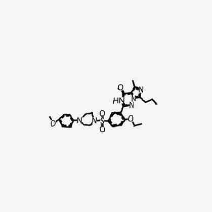 CCCc1nc(C)c2c(=O)[nH]c(-c3cc(S(=O)(=O)N4CCN(c5ccc(OC)cc5)CC4)ccc3OCC)nn12